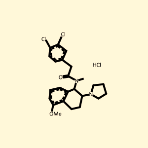 COc1cccc2c1CCC(N1CCCC1)C2N(C)C(=O)Cc1ccc(Cl)c(Cl)c1.Cl